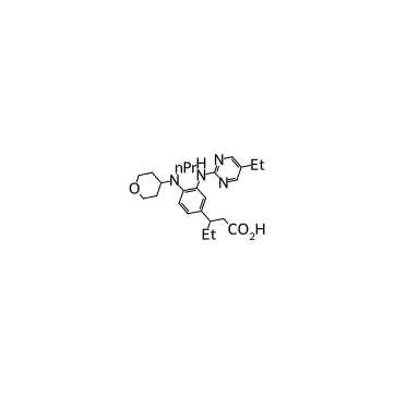 CCCN(c1ccc(C(CC)CC(=O)O)cc1Nc1ncc(CC)cn1)C1CCOCC1